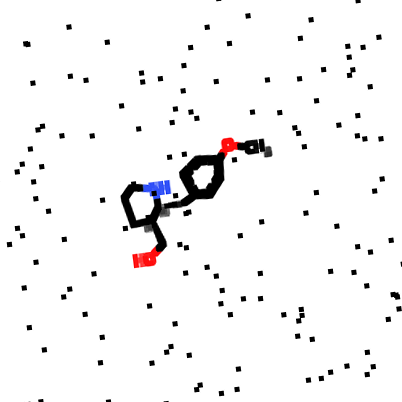 COc1ccc(C[C@H]2NCCC[C@@H]2CO)cc1